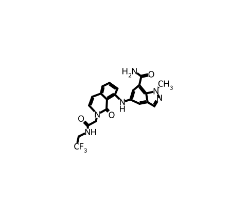 Cn1ncc2cc(Nc3cccc4ccn(CC(=O)NCC(F)(F)F)c(=O)c34)cc(C(N)=O)c21